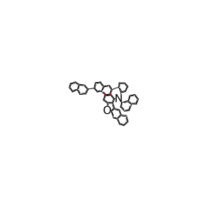 c1ccc(N(c2cccc3ccccc23)c2cccc3oc4cc5ccccc5cc4c23)c(-c2ccc3cc(-c4ccc5ccccc5c4)ccc3c2)c1